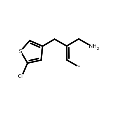 NCC(=CF)Cc1csc(Cl)c1